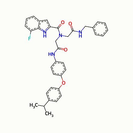 CC(C)c1ccc(Oc2ccc(NC(=O)CN(CC(=O)NCc3ccccc3)C(=O)c3cc4cccc(F)c4[nH]3)cc2)cc1